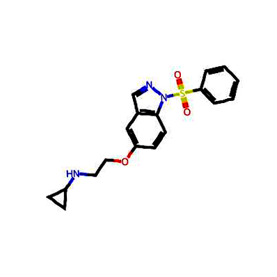 O=S(=O)(c1ccccc1)n1ncc2cc(OCCNC3CC3)ccc21